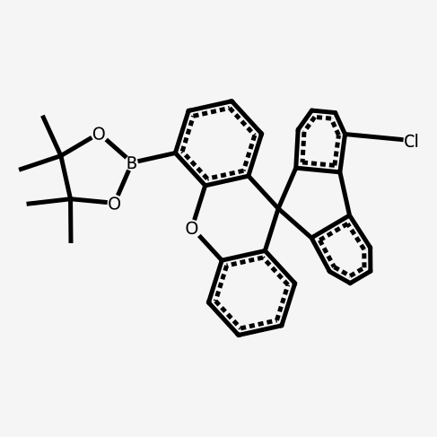 CC1(C)OB(c2cccc3c2Oc2ccccc2C32c3ccccc3-c3c(Cl)cccc32)OC1(C)C